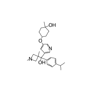 CC(C)c1ccc(C(O)(c2cncc(OC3CCC(C)(O)CC3)c2)C2(C)CN(C)C2)cc1